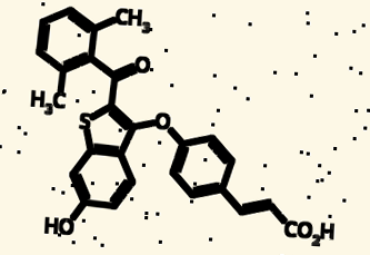 Cc1cccc(C)c1C(=O)c1sc2cc(O)ccc2c1Oc1ccc(/C=C/C(=O)O)cc1